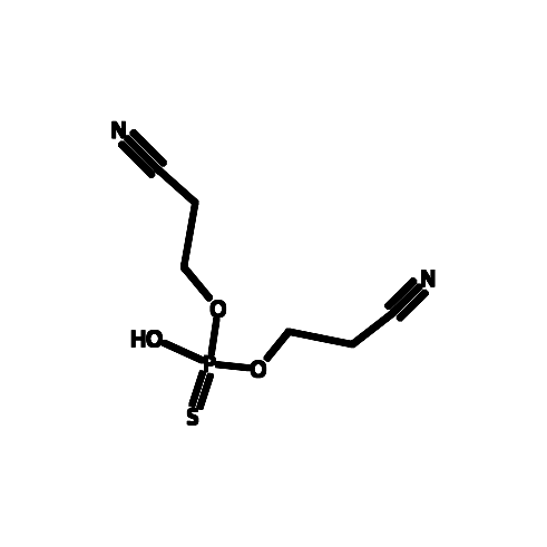 N#CCCOP(O)(=S)OCCC#N